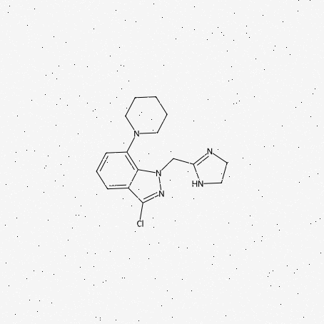 Clc1nn(CC2=NCCN2)c2c(N3CCCCC3)cccc12